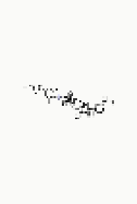 Cc1cc(C(=O)O)cc(C)c1/C=C/S(=O)(=O)N1CCC2(CC1)N=C(c1cccc(C(F)(F)F)c1)NC2=O